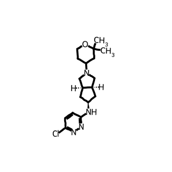 CC1(C)CC(N2C[C@H]3C[C@@H](Nc4ccc(Cl)nn4)C[C@H]3C2)CCO1